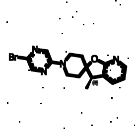 C[C@@H]1c2cccnc2OC12CCN(c1cnc(Br)cn1)CC2